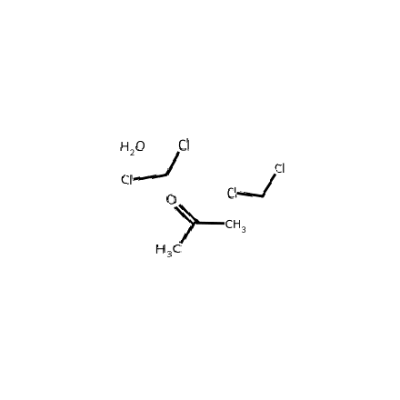 CC(C)=O.ClCCl.ClCCl.O